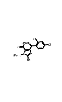 CCCC(C)n1c(CC)nc2c(-c3ccc(Cl)cc3Cl)n[nH]c(=O)c21